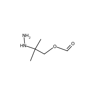 CC(C)(COC=O)NN